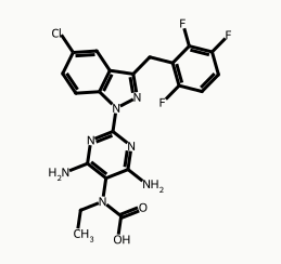 CCN(C(=O)O)c1c(N)nc(-n2nc(Cc3c(F)ccc(F)c3F)c3cc(Cl)ccc32)nc1N